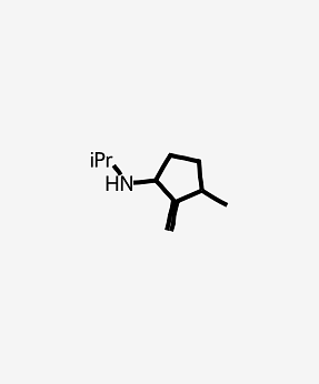 C=C1C(C)CCC1NC(C)C